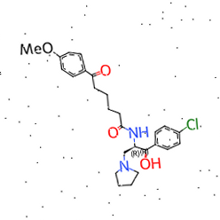 COc1ccc(C(=O)CCCCC(=O)N[C@H](CN2CCCC2)[C@H](O)c2ccc(Cl)cc2)cc1